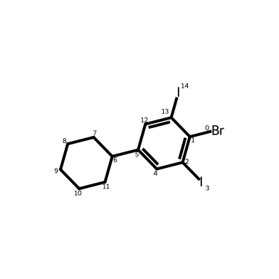 Brc1c(I)cc(C2CCCCC2)cc1I